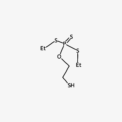 CCSP(=S)(OCCS)SCC